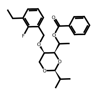 CCc1cccc(CO[C@@H]2CO[C@H](C(C)C)O[C@@H]2C(C)OC(=O)c2ccccc2)c1F